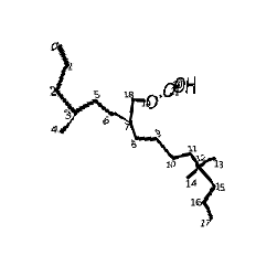 CCC[C@H](C)CC[C@H](CCCCC(C)(C)CCC)COOO